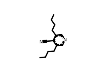 CCCCc1cncc(CCCC)c1C#N